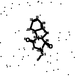 CSN1CC(=O)N2C(CC3=CC=CCC32)C1=O